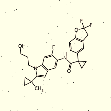 CC1(c2cc3cc(NC(=O)C4(c5ccc6c(c5)CC(F)(F)O6)CC4)c(F)cc3n2CCCO)CC1